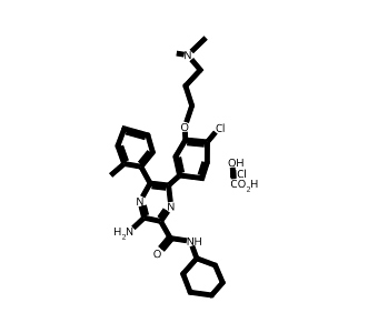 Cc1ccccc1-c1nc(N)c(C(=O)NC2CCCCC2)nc1-c1ccc(Cl)c(OCCCN(C)C)c1.Cl.O=C(O)O